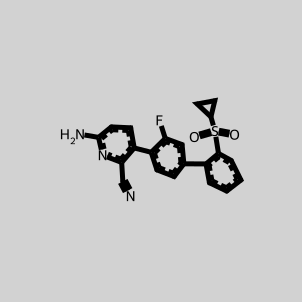 N#Cc1nc(N)ccc1-c1ccc(-c2ccccc2S(=O)(=O)C2CC2)cc1F